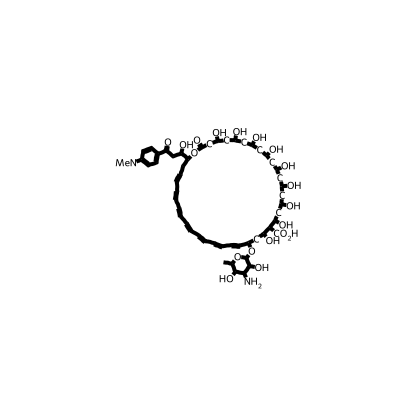 CNc1ccc(C(=O)CC(O)C2C/C=C/C=C/C=C/C=C/C=C/C=C/C=C/C(OC3OC(C)C(O)C(N)C3O)CC(O)C(C(=O)O)C(O)CC(O)CC(O)CC(O)CC(O)CC(O)CC(O)CC(O)CC(=O)O2)cc1